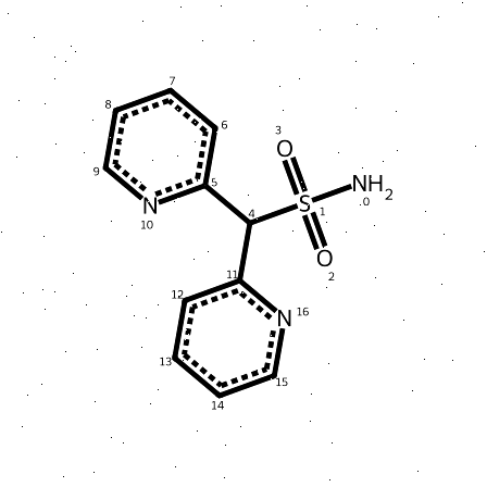 NS(=O)(=O)C(c1ccccn1)c1ccccn1